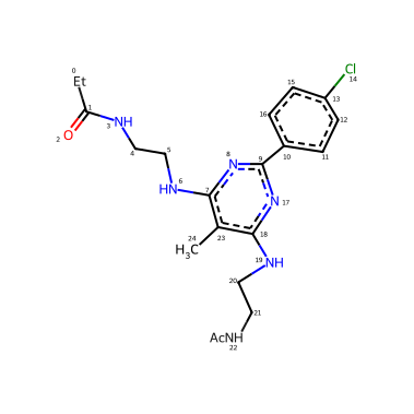 CCC(=O)NCCNc1nc(-c2ccc(Cl)cc2)nc(NCCNC(C)=O)c1C